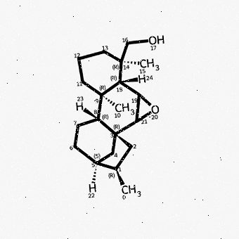 C[C@@H]1C[C@@]23C[C@@H]1CC[C@@H]2[C@@]1(C)CCC[C@@](C)(CO)[C@@H]1C1OC13